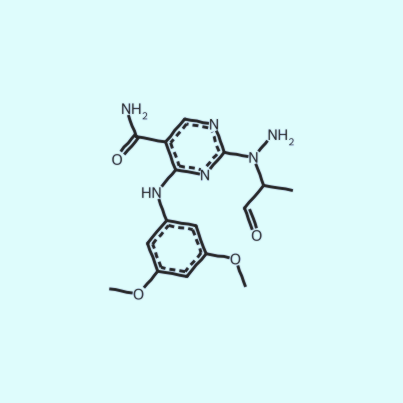 COc1cc(Nc2nc(N(N)C(C)C=O)ncc2C(N)=O)cc(OC)c1